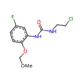 COCOc1ccc(F)cc1NC(=O)NCCCl